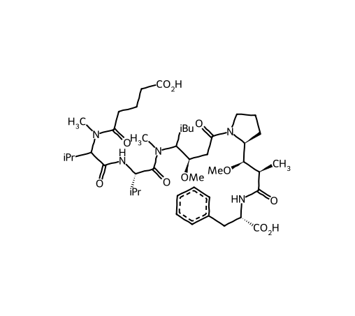 CCC(C)C([C@@H](CC(=O)N1CCC[C@H]1[C@H](OC)[C@@H](C)C(=O)N[C@@H](Cc1ccccc1)C(=O)O)OC)N(C)C(=O)[C@@H](NC(=O)C(C(C)C)N(C)C(=O)CCCC(=O)O)C(C)C